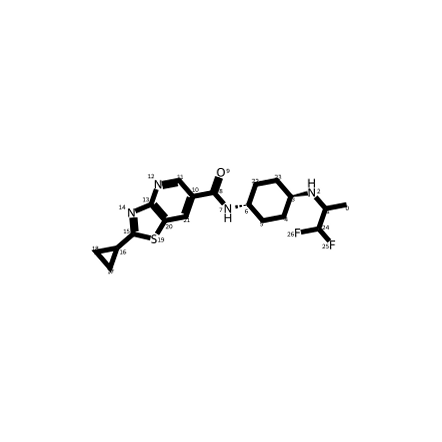 CC(N[C@H]1CC[C@H](NC(=O)c2cnc3nc(C4CC4)sc3c2)CC1)C(F)F